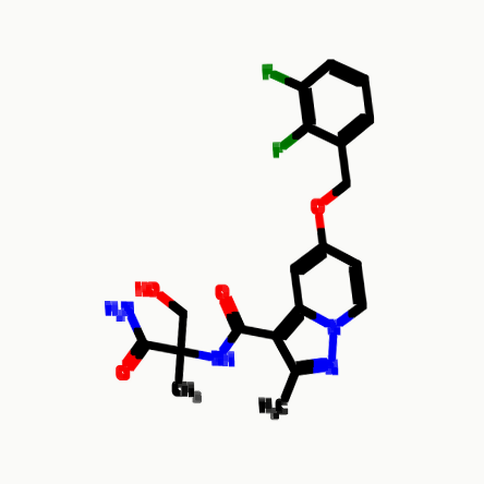 Cc1nn2ccc(OCc3cccc(F)c3F)cc2c1C(=O)NC(C)(CO)C(N)=O